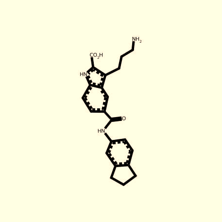 NCCCc1c(C(=O)O)[nH]c2ccc(C(=O)Nc3ccc4c(c3)CCC4)cc12